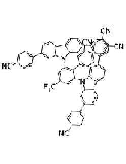 N#Cc1ccc(-c2ccc3c4ccc(-c5ccc(C#N)cc5)cc4n(-c4cc(C(F)(F)F)cc(-n5c6cc(-c7ccc(C#N)cc7)ccc6c6ccc(-c7ccc(C#N)cc7)cc65)c4-c4cccc(C#N)c4)c3c2)cc1